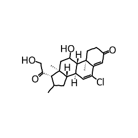 CC1C[C@H]2[C@@H]3C=C(Cl)C4=CC(=O)CC[C@]4(C)[C@H]3C(O)C[C@]2(C)[C@H]1C(=O)CO